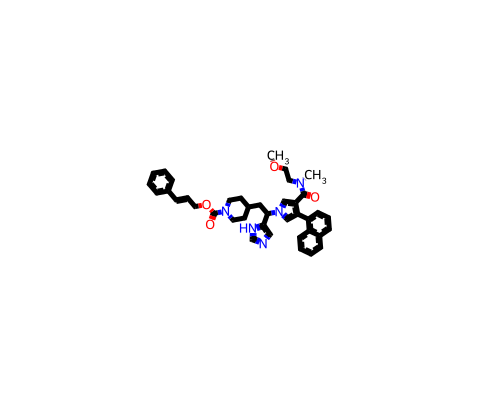 COCCN(C)C(=O)c1cn(C(CC2CCN(C(=O)OCC=Cc3ccccc3)CC2)c2cnc[nH]2)cc1-c1cccc2ccccc12